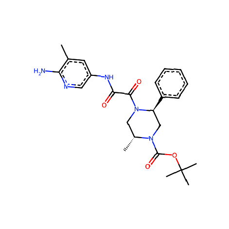 Cc1cc(NC(=O)C(=O)N2C[C@@H](C)N(C(=O)OC(C)(C)C)C[C@@H]2c2ccccc2)cnc1N